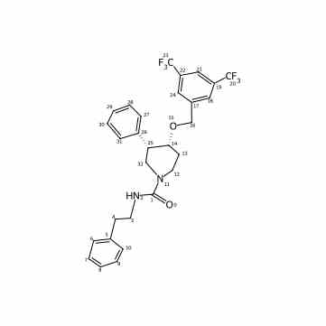 O=C(NCCc1ccccc1)N1CC[C@@H](OCc2cc(C(F)(F)F)cc(C(F)(F)F)c2)[C@@H](c2ccccc2)C1